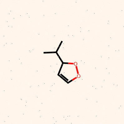 C[C](C)C1C=COO1